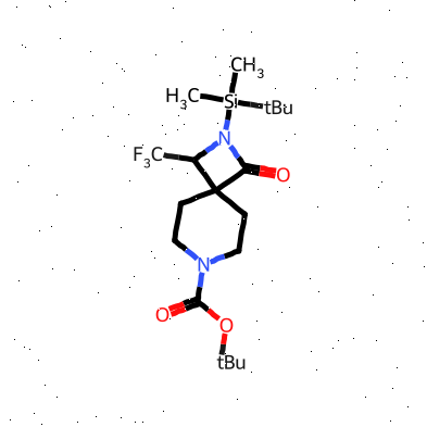 CC(C)(C)OC(=O)N1CCC2(CC1)C(=O)N([Si](C)(C)C(C)(C)C)C2C(F)(F)F